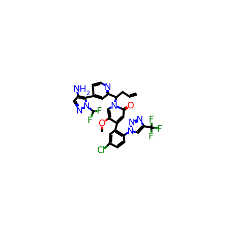 C=CCC(c1cc(-c2c(N)cnn2C(F)F)ccn1)n1cc(OC)c(-c2cc(Cl)ccc2-n2cc(C(F)(F)F)nn2)cc1=O